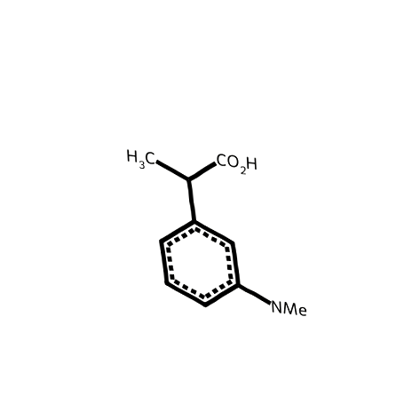 CNc1cccc(C(C)C(=O)O)c1